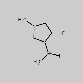 CN1CC(N(C)I)[C@@H](F)C1